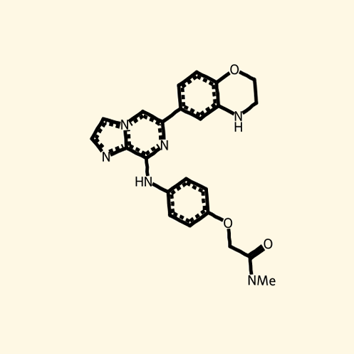 CNC(=O)COc1ccc(Nc2nc(-c3ccc4c(c3)NCCO4)cn3ccnc23)cc1